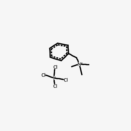 C[N+](C)(C)Cc1ccccc1.Cl[I-](Cl)(Cl)Cl